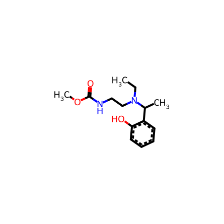 CCN(CCNC(=O)OC)C(C)c1ccccc1O